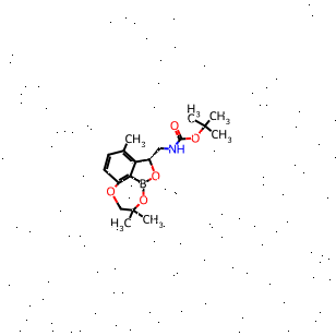 Cc1ccc2c3c1[C@@H](CNC(=O)OC(C)(C)C)OB3OC(C)(C)CO2